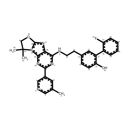 Cc1cncc(-c2nc(NCCc3ccc(O)c(-c4ccccc4F)c3)c3nc4n(c3n2)C(C)(C)CO4)c1